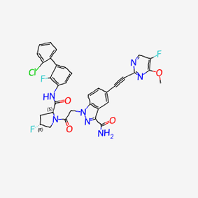 COc1nc(C#Cc2ccc3c(c2)c(C(N)=O)nn3CC(=O)N2C[C@H](F)C[C@H]2C(=O)Nc2cccc(-c3ccccc3Cl)c2F)ncc1F